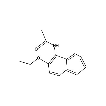 CCOc1ccc2ccccc2c1NC(C)=O